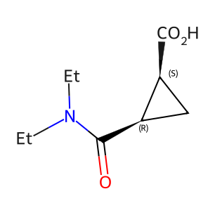 CCN(CC)C(=O)[C@@H]1C[C@@H]1C(=O)O